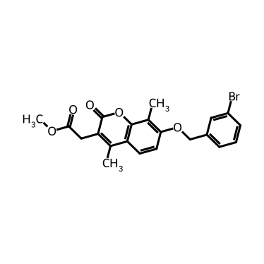 COC(=O)Cc1c(C)c2ccc(OCc3cccc(Br)c3)c(C)c2oc1=O